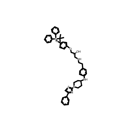 CC(C)(C)[Si](Oc1ccc(OC[C@@H](O)CNCCc2ccc(NC3CCN(c4nc(-c5ccccc5)cs4)CC3)cc2)cc1)(c1ccccc1)c1ccccc1